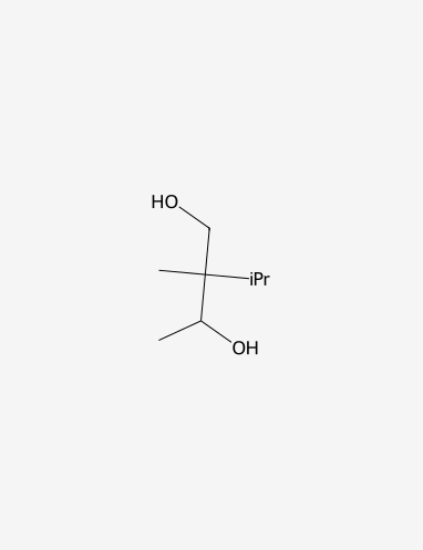 CC(C)C(C)(CO)C(C)O